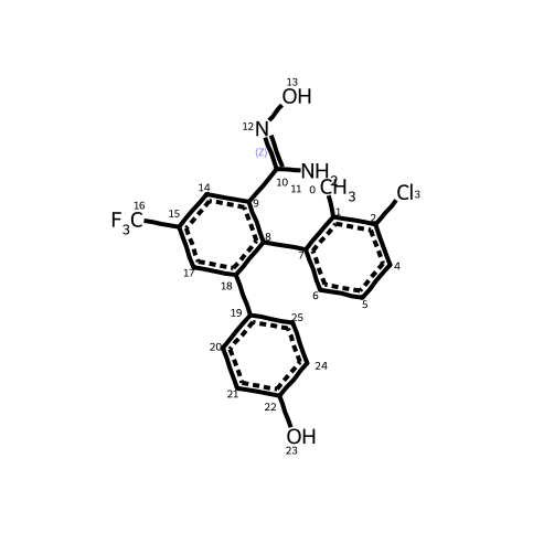 Cc1c(Cl)cccc1-c1c(/C(N)=N/O)cc(C(F)(F)F)cc1-c1ccc(O)cc1